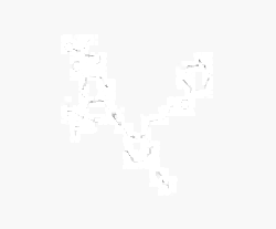 CS(=O)(=O)Oc1ccc(C#Cc2ccc(C#N)cc2CCCOc2ccncc2)c(C(F)(F)F)c1